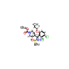 C=CCOc1ccc(Cl)c(Cl)c1[C@H](N[S+]([O-])C(C)(C)C)C1CCN(C(=O)OC(C)(C)C)CC1